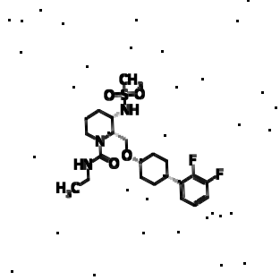 CCNC(=O)N1CCC[C@H](NS(C)(=O)=O)[C@@H]1CO[C@H]1CC[C@@H](c2cccc(F)c2F)CC1